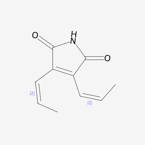 C/C=C\C1=C(/C=C\C)C(=O)NC1=O